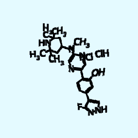 CN(c1cnc(-c2ccc(-c3c[nH]nc3F)cc2O)cn1)C1CC(C)(C)NC(C)(C)C1.Cl.Cl